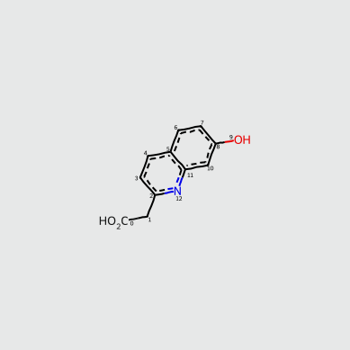 O=C(O)Cc1ccc2ccc(O)cc2n1